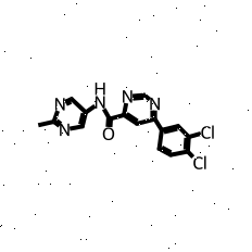 Cc1ncc(NC(=O)c2cc(-c3ccc(Cl)c(Cl)c3)ncn2)cn1